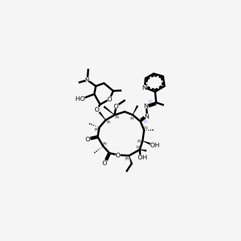 CC[C@H]1OC(=O)[C@H](C)C(=O)[C@H](C)[C@@H](OC2OC(C)CC(N(C)C)C2O)[C@](C)(OC)C[C@@H](C)/C(=N\N=C(/C)c2ccccn2)[C@H](C)[C@@H](O)[C@]1(C)O